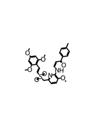 COc1cc(OC)c(/C=C/S(=O)(=O)Cc2ccc(OC)c(N/C=C\C(=O)c3ccc(C)cc3)n2)c(OC)c1